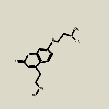 CN(C)CCNc1ccc2c(CCNC(C)(C)C)cc(=O)oc2c1